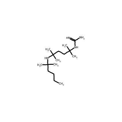 CCCCC(C)(C)NC(C)(C)CCC(C)(C)NC(=N)N